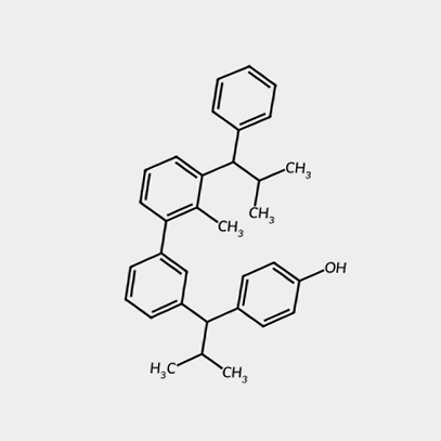 Cc1c(-c2cccc(C(c3ccc(O)cc3)C(C)C)c2)cccc1C(c1ccccc1)C(C)C